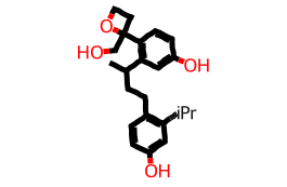 CC(C)c1cc(O)ccc1CCC(C)c1cc(O)ccc1C1(CO)CCO1